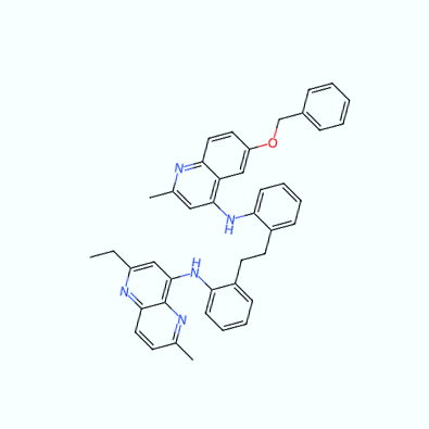 CCc1cc(Nc2ccccc2CCc2ccccc2Nc2cc(C)nc3ccc(OCc4ccccc4)cc23)c2nc(C)ccc2n1